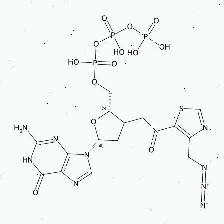 [N-]=[N+]=NCc1ncsc1C(=O)CC1C[C@H](n2cnc3c(=O)[nH]c(N)nc32)O[C@@H]1COP(=O)(O)OP(=O)(O)OP(=O)(O)O